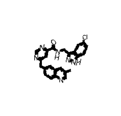 Cc1cnc2ccc(Cc3cc(C(=O)NCc4n[nH]c5ccc(Cl)cc45)ncn3)cc2c1